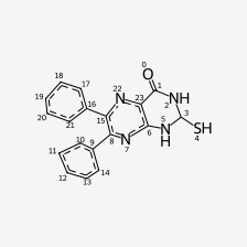 O=C1NC(S)Nc2nc(-c3ccccc3)c(-c3ccccc3)nc21